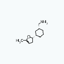 CC1=CCC([C@H]2CCC[C@@H](CN)C2)O1